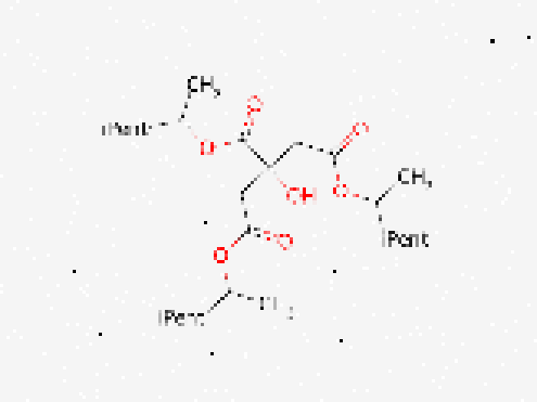 CCCC(C)C(C)OC(=O)CC(O)(CC(=O)OC(C)C(C)CCC)C(=O)OC(C)C(C)CCC